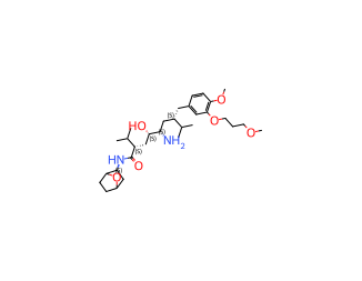 COCCCOc1cc(C[C@@H](C[C@H](N)[C@@H](O)C[C@H](C(=O)N[C@H]2CC3CCC2O3)C(C)C)C(C)C)ccc1OC